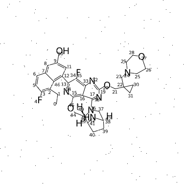 CCc1c(F)ccc2cc(O)cc(-c3nc4c5c(nc(OCC6(CN7CCOCC7)CC6)nc5c3F)N3C[C@H]5CC[C@H](N5)[C@@H]3CO4)c12